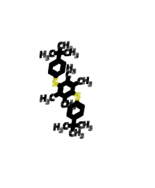 Cc1c(C)c(Sc2ccc(C(C)(C)C)cc2)c(C)c(C)c1Sc1ccc(C(C)(C)C)cc1